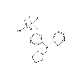 C(=C(c1ccccc1)c1ccccc1)[SH]1CCCC1.O=S(=O)(O)C(F)(F)F